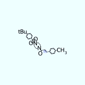 Cc1ccc(/C=C/C(=O)N2CCN(S(=O)(=O)c3ccc(C(C)(C)C)cc3)CC2)cc1